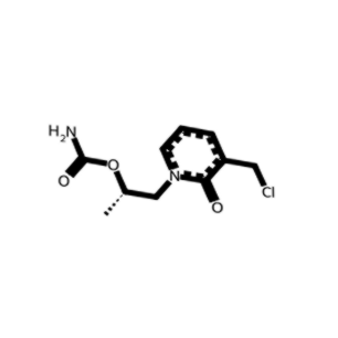 C[C@@H](Cn1cccc(CCl)c1=O)OC(N)=O